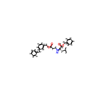 CC(C)C[C@H](NCCC(=O)OCc1cccc(Cc2ccccc2)c1)C(=O)OCc1ccccc1